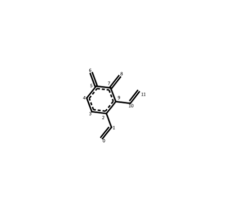 C=Cc1ccc(=C)c(=C)c1C=C